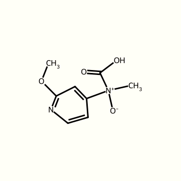 COc1cc([N+](C)([O-])C(=O)O)ccn1